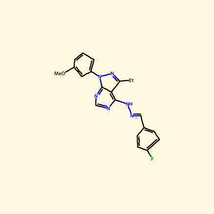 CCc1nn(-c2cccc(OC)c2)c2ncnc(N/N=C/c3ccc(F)cc3)c12